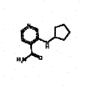 NC(=O)c1ccncc1NC1CCCC1